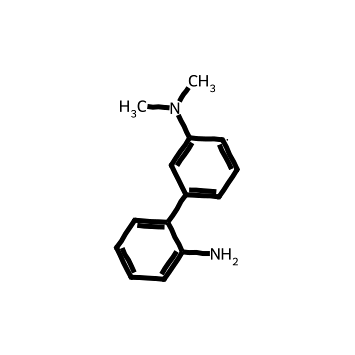 CN(C)c1[c]ccc(-c2ccccc2N)c1